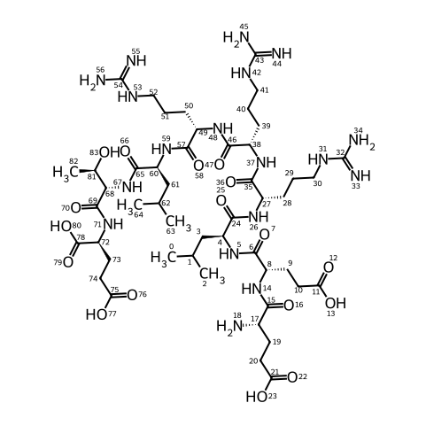 CC(C)C[C@H](NC(=O)[C@H](CCC(=O)O)NC(=O)[C@@H](N)CCC(=O)O)C(=O)N[C@@H](CCCNC(=N)N)C(=O)N[C@@H](CCCNC(=N)N)C(=O)N[C@@H](CCCNC(=N)N)C(=O)N[C@@H](CC(C)C)C(=O)N[C@H](C(=O)N[C@@H](CCC(=O)O)C(=O)O)[C@@H](C)O